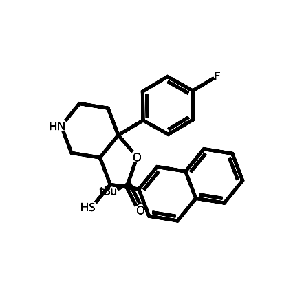 CC(C)(C)C(=O)OC1(c2ccc(F)cc2)CCNCC1C(S)c1ccc2ccccc2c1